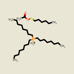 CCCCCCCC[PH](C)(CCCCCCCC)CCCCCCCC.CCCCCCSOC(C)=O